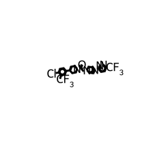 O=C(CN1CC2CC1CN2c1ccc(C(F)(F)F)nn1)N1CC=C(c2ccc(Cl)c(C(F)(F)F)c2)CC1